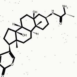 C[C@@H](N)C(=O)N[C@H]1CC[C@]2(C)[C@H]3CC[C@]4(C)[C@@H](c5ccc(=O)oc5)CC[C@]4(O)[C@@H]3CC[C@]2(O)C1